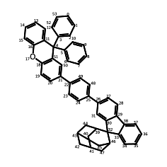 c1ccc(C2(c3ccccc3)c3ccccc3Oc3ccc(-c4ccc(-c5ccc6c(c5)C5(c7ccccc7-6)C6CC7CC(C6)CC5C7)cc4)cc32)cc1